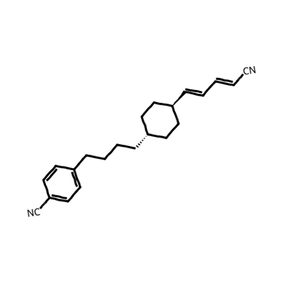 N#CC=CC=C[C@H]1CC[C@H](CCCCc2ccc(C#N)cc2)CC1